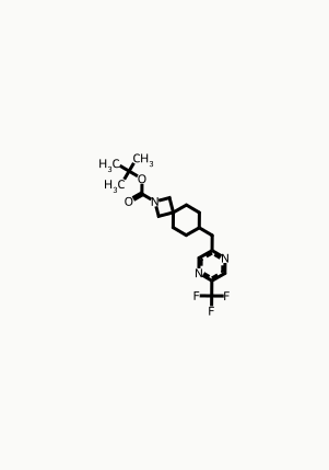 CC(C)(C)OC(=O)N1CC2(CCC(Cc3cnc(C(F)(F)F)cn3)CC2)C1